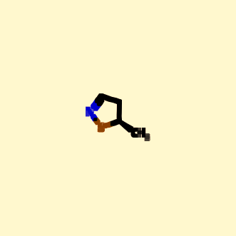 C[C@@H]1CC=NS1